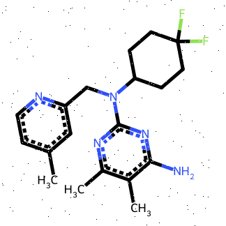 Cc1ccnc(CN(c2nc(C)c(C)c(N)n2)C2CCC(F)(F)CC2)c1